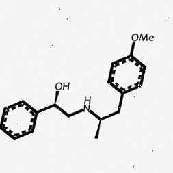 COc1ccc(C[C@@H](C)NC[C@H](O)c2ccccc2)cc1